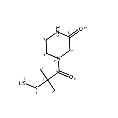 CC(C)(SS)C(=O)N1CCNC(=O)C1